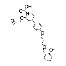 COc1ccccc1COCCCOc1ccc(C2CCN(C(=O)O)C(OCC3CO3)C2)cc1